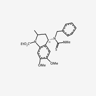 CCOC(=O)N1c2cc(OC)c(OC)cc2[C@@H](N(Cc2ccccc2)C(=S)NC)CC1C